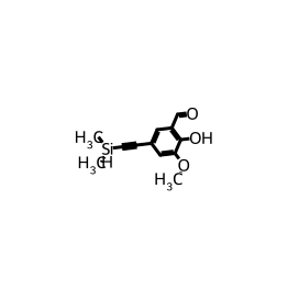 COc1cc(C#C[SiH](C)C)cc(C=O)c1O